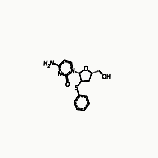 Nc1ccn([C@@H]2O[C@H](CO)CC2Sc2ccccc2)c(=O)n1